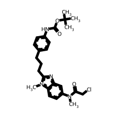 CN(C(=O)CCl)c1ccc2c(c1)nc(CCCc1ccc(NC(=O)OC(C)(C)C)cc1)n2C